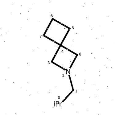 CC(C)CN1CC2(CCC2)C1